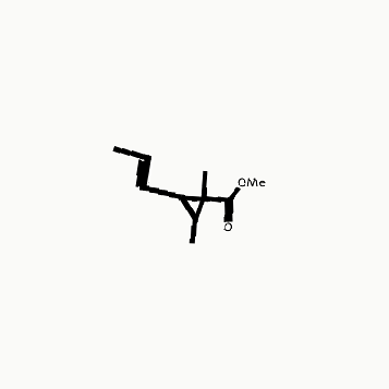 CC=CC1C(C)C1(C)C(=O)OC